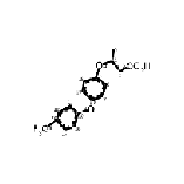 CC(CC(=O)O)Oc1ccc(Oc2ccc(C(F)(F)F)cc2)cc1